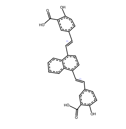 O=C(O)c1cc(/C=C/c2ccc(/C=C/c3ccc(O)c(C(=O)O)c3)c3ccccc23)ccc1O